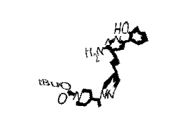 CC(C1CCN(C(=O)OC(C)(C)C)CC1)n1cc(/C=C/c2cc(-c3ccccc3O)nnc2N)cn1